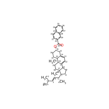 CC(C)C(C)/C=C/[C@@H](C)C1CCC2C3=CC=C4C[C@@H](OC(=O)c5ccc6ccccc6c5)CC[C@]4(C)C3CC[C@@]21C